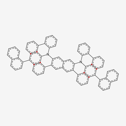 c1ccc(-c2ccccc2N(c2ccc(-c3cccc4ccccc34)cc2)c2cc3cc(N(c4ccc(-c5cccc6ccccc56)cc4)c4ccccc4-c4ccccc4)c(-c4ccccc4)cc3cc2-c2ccccc2)cc1